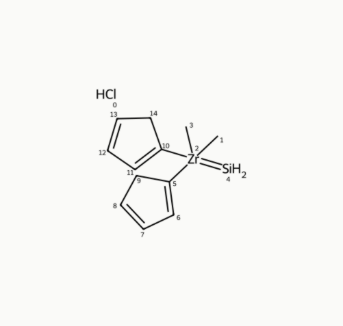 Cl.[CH3][Zr]([CH3])(=[SiH2])([C]1=CC=CC1)[C]1=CC=CC1